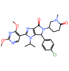 COc1ncc(-c2nc3c(n2C(C)C)C(c2ccc(Cl)cc2)N(C2CCC(=O)N(C)C2)C3=O)c(OC)n1